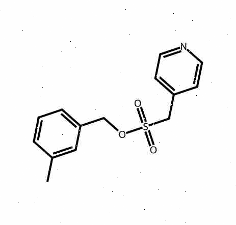 Cc1cccc(COS(=O)(=O)Cc2ccncc2)c1